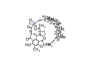 CO[C@H]1/C=C\O[C@@]2(C)Oc3c(C)c(O)c4c(c3C2=O)C(N2CCC[C@@H]2[C@H](C)O)=CC(=NC(=O)/C(C)=C\C=C/[C@H](C)[C@H](O)[C@@H](C)[C@@H](O)[C@@H](C)[C@H](OC(C)=O)[C@@H]1C)C4=O